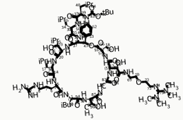 CC[C@H](C)[C@@H]1NC(=O)[C@@H](CCCNC(=N)N)NC(=O)[C@H](CC(C)C)NC(=O)[C@H]([C@H](O)C(C)C)NC(=O)[C@@H](NC(=O)[C@H](CC(C)C)NC(=O)[C@@H](CC(C)C)NC(=O)OC(C)(C)C)[C@@H](c2ccccc2)OC(=O)[C@H](CO)NC(=O)[C@H]([C@H](O)C(=O)NCCOCCN=C(N(C)C)N(C)C)NC(=O)CNC(=O)[C@H]([C@H](C)O)NC1=O